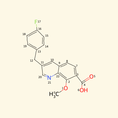 COc1c(C(=O)O)ccc2cc(Cc3ccc(F)cc3)cnc12